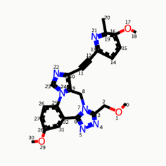 COCc1nnc2n1Cc1c(C#Cc3ccc(OC)c(C)n3)ncn1-c1ccc(OC)cc1-2